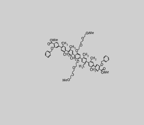 COCCOCCOCCOc1cc(-c2cc(C)c(-c3cc(C)c(-c4ccc(C(=O)OC)c(OCc5ccccc5)c4)cc3C)cc2C)c(OCCOCCOCCOC)cc1-c1cc(C)c(-c2cc(C)c(-c3ccc(C(=O)OC)c(OCc4ccccc4)c3)cc2C)cc1C